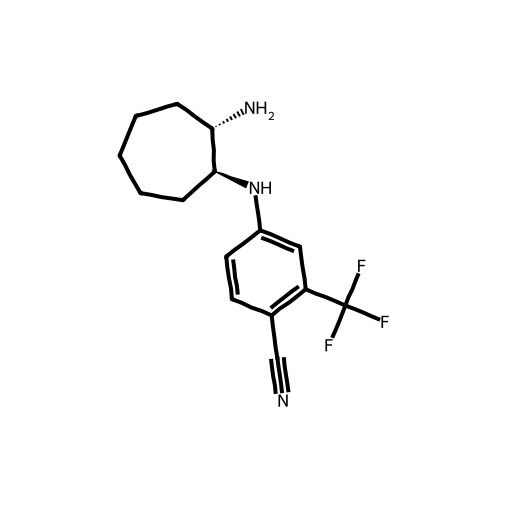 N#Cc1ccc(N[C@H]2CCCCC[C@@H]2N)cc1C(F)(F)F